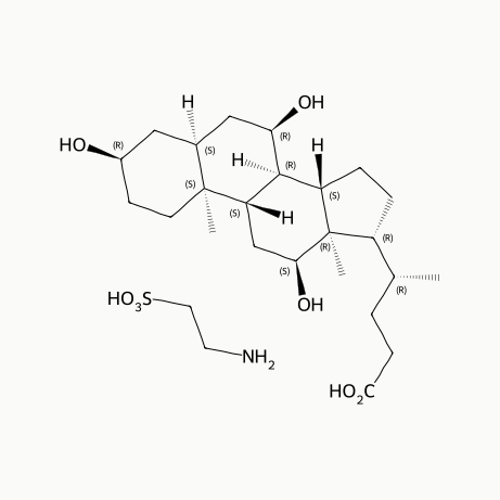 C[C@H](CCC(=O)O)[C@H]1CC[C@H]2[C@@H]3[C@H](O)C[C@@H]4C[C@H](O)CC[C@]4(C)[C@H]3C[C@H](O)[C@]12C.NCCS(=O)(=O)O